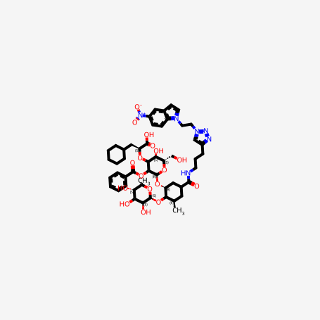 CC1O[C@@H](OC2[C@H](C)CC(C(=O)NCCCc3cn(CCn4ccc5cc([N+](=O)[O-])ccc54)nn3)C[C@H]2O[C@@H]2O[C@@H](CO)[C@H](O)C(O[C@@H](CC3CCCCC3)C(=O)O)C2OC(=O)c2ccccc2)[C@@H](O)C(O)[C@@H]1O